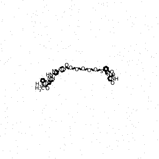 CN(C)C(=O)c1cc2cnc(Nc3ccc(N4CCN(C(=O)COCCOCCOCCOCCOCCSc5cccc6c5CN(C5CCC(=O)NC5=O)C6=O)CC4)cn3)nc2n1C1CCCC1